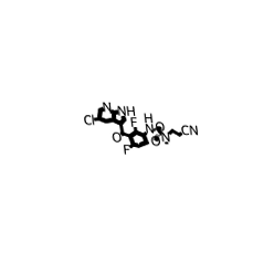 CN(CCC#N)S(=O)(=O)Nc1ccc(F)c(C(=O)c2c[nH]c3ncc(Cl)cc23)c1F